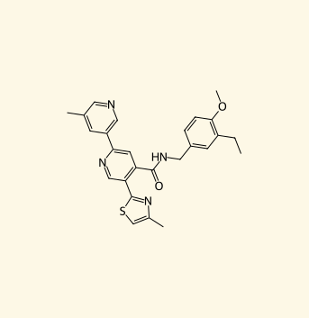 CCc1cc(CNC(=O)c2cc(-c3cncc(C)c3)ncc2-c2nc(C)cs2)ccc1OC